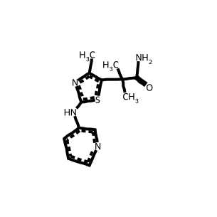 Cc1nc(Nc2cccnc2)sc1C(C)(C)C(N)=O